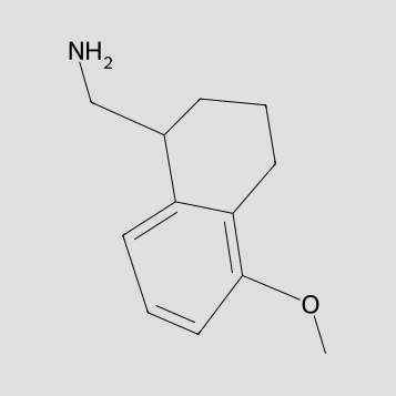 COc1cccc2c1CCCC2CN